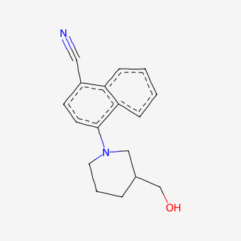 N#Cc1ccc(N2CCCC(CO)C2)c2ccccc12